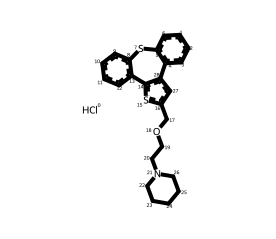 Cl.c1ccc2c(c1)Sc1ccccc1-c1sc(COCCN3CCCCC3)cc1-2